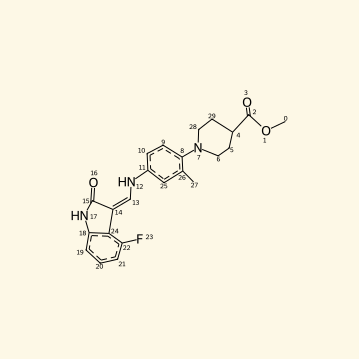 COC(=O)C1CCN(c2ccc(NC=C3C(=O)Nc4cccc(F)c43)cc2C)CC1